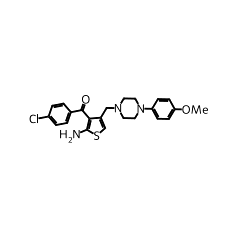 COc1ccc(N2CCN(Cc3csc(N)c3C(=O)c3ccc(Cl)cc3)CC2)cc1